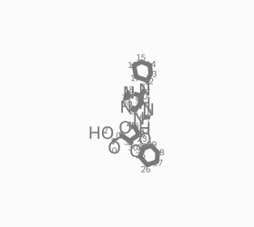 O=C(O)[C@H]1O[C@@H](n2cnc3c(NC4CCCCC4)ncnc32)[C@H]2OC3(CCCCC3)OC12